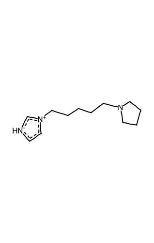 c1c[n+](CCCCCN2CCCC2)c[nH]1